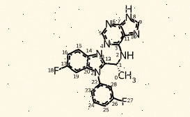 C[C@@H](Nc1ncnc2[nH]cnc12)c1nc2ccc(F)cc2n1-c1cccc(F)c1